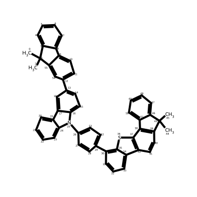 CC1(C)c2ccccc2-c2ccc(-c3ccc4c(c3)c3ccccc3n4-c3ccc(-c4cccc5c4sc4c6c(ccc45)C(C)(C)c4ccccc4-6)cc3)cc21